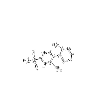 Cc1ncccc1-c1cnc(S(C)(=O)=O)nc1N